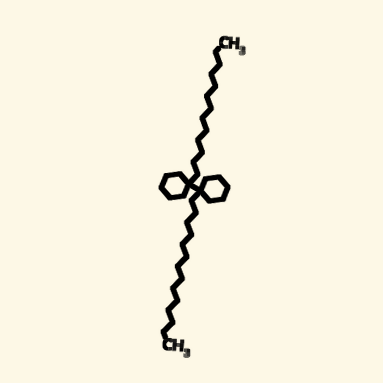 CCCCCCCCCCCCCCC1(C2(CCCCCCCCCCCCC)CCCCC2)CCCCC1